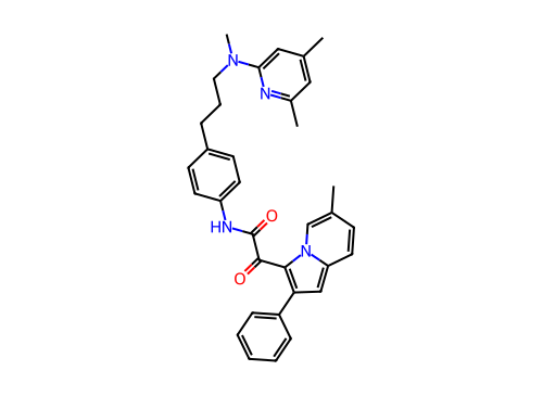 Cc1cc(C)nc(N(C)CCCc2ccc(NC(=O)C(=O)c3c(-c4ccccc4)cc4ccc(C)cn34)cc2)c1